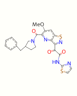 COc1cc2snc(C(=O)C(=O)Nc3nccs3)c2nc1C(=O)N1CCC(Cc2ccccc2)C1